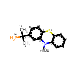 CCCCN1c2ccccc2Sc2ccc(C(C)(C)P)cc21